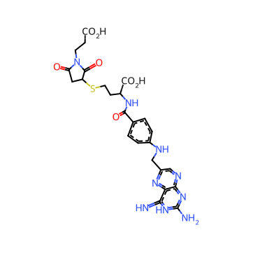 N=c1[nH]c(N)nc2ncc(CNc3ccc(C(=O)NC(CCSC4CC(=O)N(CCC(=O)O)C4=O)C(=O)O)cc3)nc12